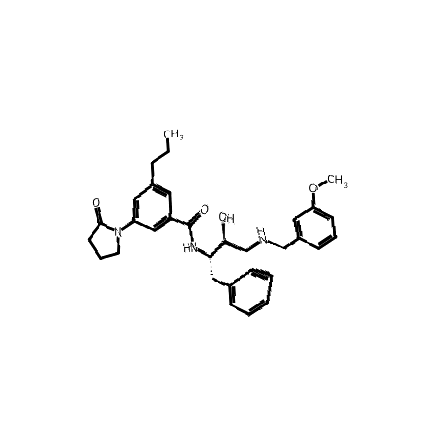 CCCc1cc(C(=O)N[C@@H](Cc2ccccc2)[C@@H](O)CNCc2cccc(OC)c2)cc(N2CCCC2=O)c1